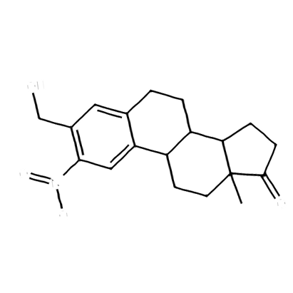 CC12CCC3c4cc([N+](=O)[O-])c(CO)cc4CCC3C1CCC2=O